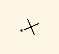 C[C](C)(C)[Hf]